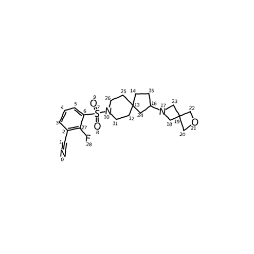 N#Cc1cccc(S(=O)(=O)N2CCC3(CCC(N4CC5(COC5)C4)C3)CC2)c1F